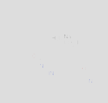 CC(=O)O.O=C1N=C(Nc2ccc(C3C[N-]CCO3)cc2)S/C1=C/c1ccc(-c2ccccc2)cc1.[Na+]